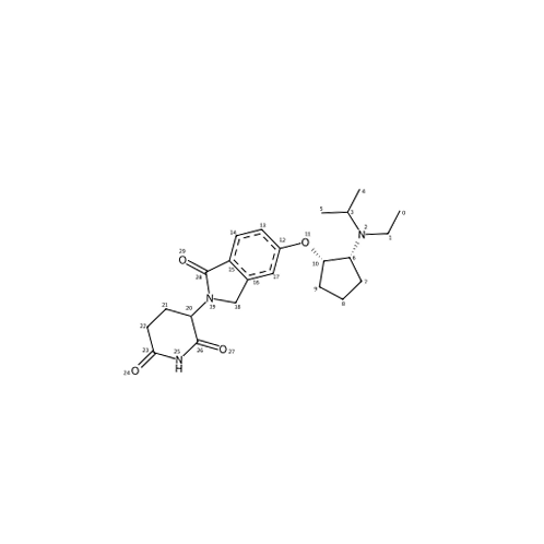 CCN(C(C)C)[C@@H]1CCC[C@@H]1Oc1ccc2c(c1)CN(C1CCC(=O)NC1=O)C2=O